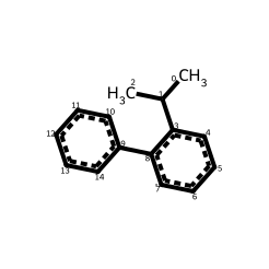 CC(C)c1ccc[c]c1-c1ccccc1